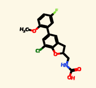 COc1ccc(F)cc1-c1cc(Cl)c2c(c1)CC(CNC(=O)O)O2